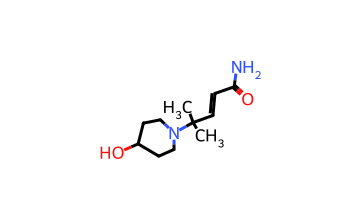 CC(C)(C=CC(N)=O)N1CCC(O)CC1